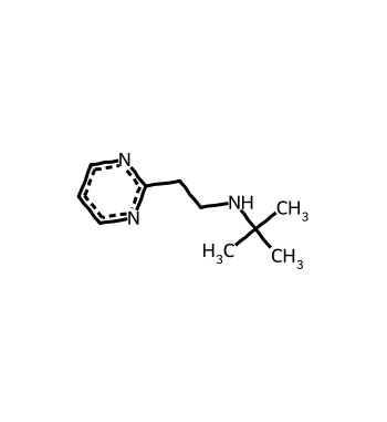 CC(C)(C)NCCc1ncccn1